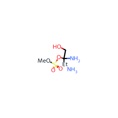 CCC(N)(CO)OS(=O)(=O)OC.N